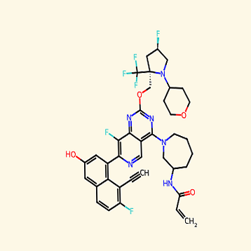 C#Cc1c(F)ccc2cc(O)cc(-c3ncc4c(N5CCCCC(NC(=O)C=C)C5)nc(OC[C@]5(C(F)(F)F)C[C@@H](F)CN5C5CCOCC5)nc4c3F)c12